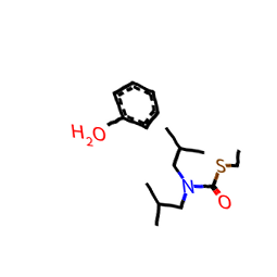 CCSC(=O)N(CC(C)C)CC(C)C.Cc1ccccc1.O